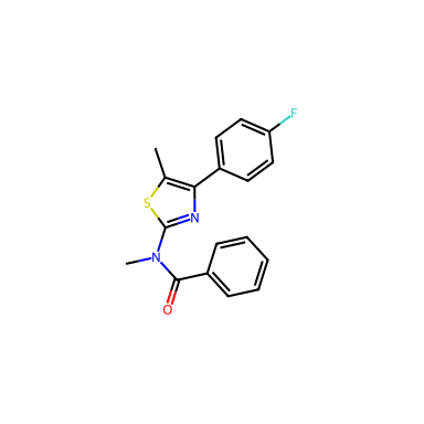 Cc1sc(N(C)C(=O)c2ccccc2)nc1-c1ccc(F)cc1